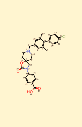 Cc1cc(CN2CCC3(CC2)CN(c2ccc(C(=O)O)cc2)C(=O)O3)cc(C)c1-c1ccc(Cl)cc1